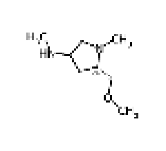 CNC1C[C@@H](COC)N(C)C1